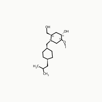 CC(C)C[C@H]1CC[C@@H](CN2C[C@H](OI)[C@@H](O)C[C@@H]2CO)CC1